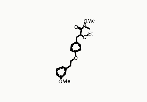 CCOC(Cc1ccc(OCCc2cccc(OC)c2)cc1)C(=O)N(C)OC